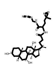 C[C@H](CCC(=O)NC(CCC1(C)N=N1)C(=O)NCN=[N+]=[N-])[C@H]1CC[C@H]2[C@H]3C(C[C@H](O)[C@]12C)[C@@]1(C)CC[C@@H](O)C[C@H]1C[C@H]3O